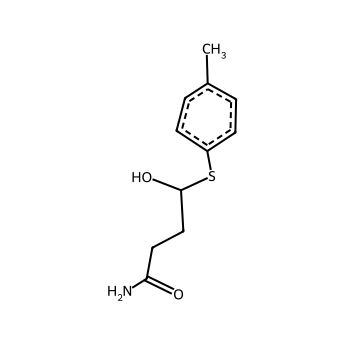 Cc1ccc(SC(O)CCC(N)=O)cc1